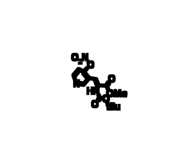 COC(=O)C(=Cc1cnccc1O[N+](=O)[O-])NC(=O)OC(C)(C)C